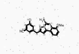 COc1cccc2c1nc(N)n1nc(Cc3cc(Cl)cc(C#N)c3)cc21